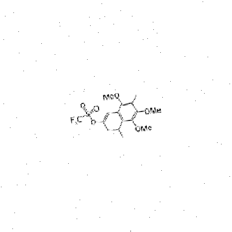 COc1c(C)c(OC)c(OC)c2c1C=C(OS(=O)(=O)C(F)(F)F)CC2C